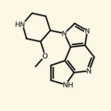 COC1CNCCC1n1cnc2cnc3[nH]ccc3c21